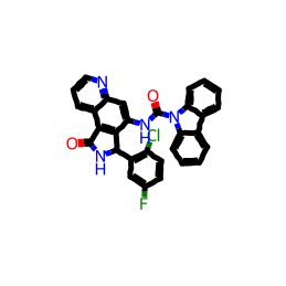 O=C1NC(c2cc(F)ccc2Cl)c2c(NC(=O)n3c4ccccc4c4ccccc43)cc3ncccc3c21